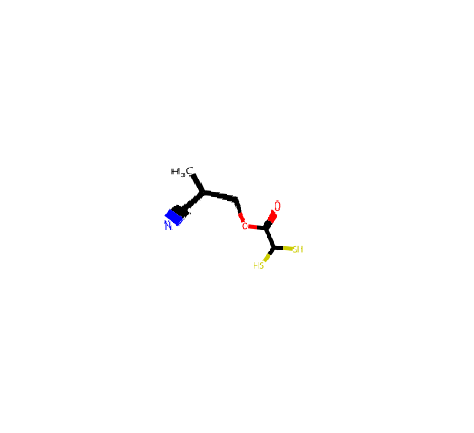 CC(C#N)COC(=O)C(S)S